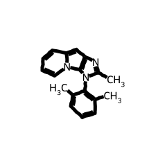 Cc1cccc(C)c1-n1c(C)nc2cc3ccccn3c21